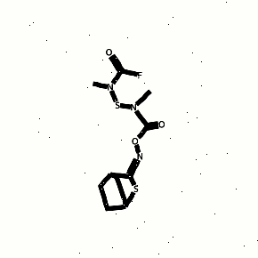 CN(SN(C)C(=O)ON=C1SC2CCC1CC2)C(=O)F